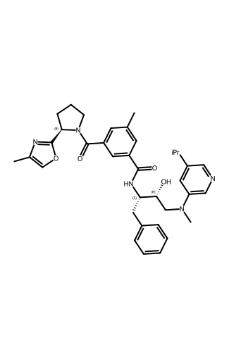 Cc1cc(C(=O)N[C@@H](Cc2ccccc2)[C@H](O)CN(C)c2cncc(C(C)C)c2)cc(C(=O)N2CCC[C@@H]2c2nc(C)co2)c1